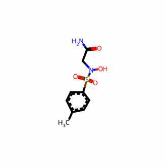 Cc1ccc(S(=O)(=O)N(O)CC(N)=O)cc1